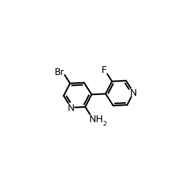 Nc1ncc(Br)cc1-c1ccncc1F